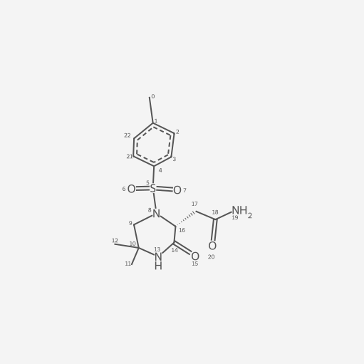 Cc1ccc(S(=O)(=O)N2CC(C)(C)NC(=O)[C@H]2CC(N)=O)cc1